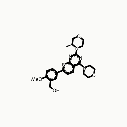 COc1ccc(-c2ccc3c(N4CCOCC4)nc(N4CCOC[C@@H]4C)nc3n2)cc1CO